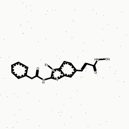 CCn1c(NC(=O)Cc2ccccc2)nc2cc(/C=C/C(=O)NO)ccc21